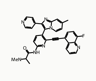 CNC(C)C(=O)Nc1ccc(-c2c(-c3ccncc3)nc3cc(C)ccn23)c(C#Cc2ccc(F)c3ncccc23)n1